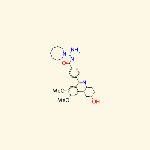 COc1cc2c(cc1OC)C1CC(O)CCC1N=C2c1ccc(C(=O)N=C(N)N2CCCCCCC2)cc1